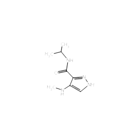 CNc1c[nH]nc1C(=O)NC(C)C